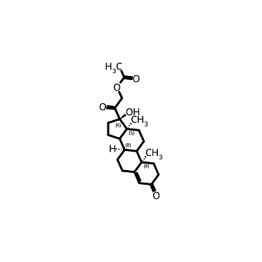 CC(=O)OCC(=O)[C@@]1(O)CCC2[C@@H]3CCC4=CC(=O)CC[C@]4(C)C3CC[C@@]21C